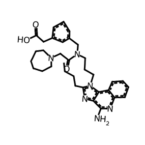 CCCCc1nc2c(N)nc3ccccc3c2n1CCCN(Cc1cccc(CC(=O)O)c1)C(=O)CN1CCCCCC1